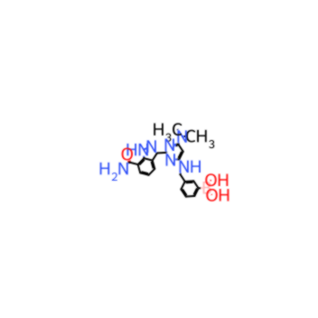 CN(C)c1cc(NCc2cccc(B(O)O)c2)nc(-c2n[nH]c3c(C(N)=O)cccc23)n1